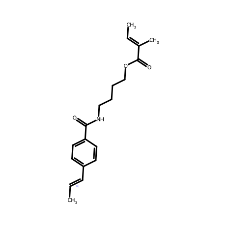 CC=C(C)C(=O)OCCCCNC(=O)c1ccc(/C=C/C)cc1